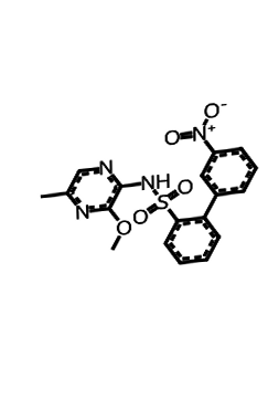 COc1nc(C)cnc1NS(=O)(=O)c1ccccc1-c1cccc([N+](=O)[O-])c1